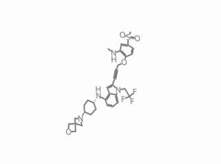 CNc1cc(S(C)(=O)=O)ccc1OCC#Cc1cc2c(N[C@H]3CC[C@H](N4CC5(COC5)C4)CC3)cccc2n1CC(F)(F)F